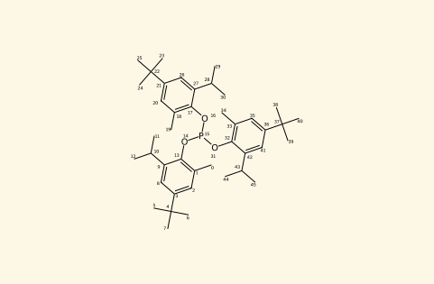 Cc1cc(C(C)(C)C)cc(C(C)C)c1OP(Oc1c(C)cc(C(C)(C)C)cc1C(C)C)Oc1c(C)cc(C(C)(C)C)cc1C(C)C